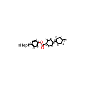 CCCCCCCc1ccc(OC(=O)C2CCC(C3CCC(C)CC3)CC2)cc1